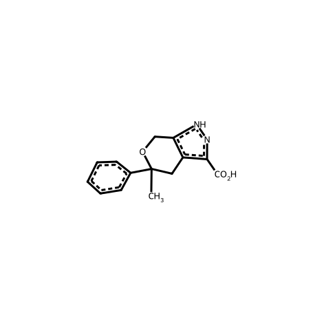 CC1(c2ccccc2)Cc2c(C(=O)O)n[nH]c2CO1